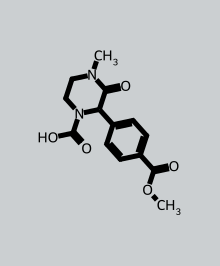 COC(=O)c1ccc(C2C(=O)N(C)CCN2C(=O)O)cc1